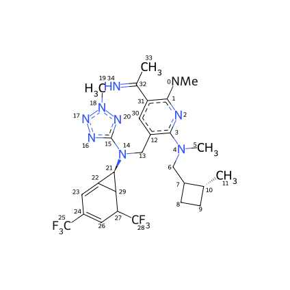 CNc1nc(N(C)CC2CC[C@H]2C)c(CN(c2nnn(C)n2)[C@@H]2C3=CC(C(F)(F)F)=CC(C(F)(F)F)C32)cc1C(C)=N